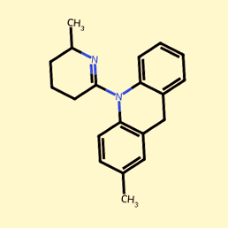 Cc1ccc2c(c1)Cc1ccccc1N2C1=NC(C)CCC1